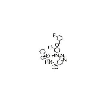 O=S(=O)(CCNCC1(c2ccc3ncnc(Nc4ccc(OCc5cccc(F)c5)c(Cl)c4)c3c2)CC=CO1)c1ccccc1